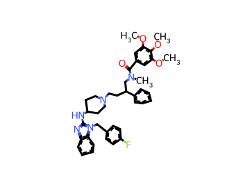 COc1cc(C(=O)N(C)CC(CCN2CCC(Nc3nc4ccccc4n3Cc3ccc(F)cc3)CC2)c2ccccc2)cc(OC)c1OC